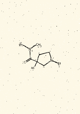 CCN1CCC(C#N)(C(=O)N(C)C(C)C)C1